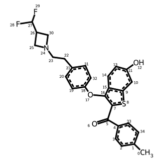 Cc1ccc(C(=O)c2sc3cc(O)ccc3c2Oc2ccc(CCN3CC(C(F)F)C3)cc2)cc1